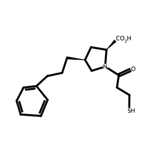 O=C(O)[C@@H]1C[C@H](CCCc2ccccc2)CN1C(=O)CCS